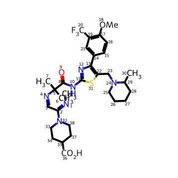 C/N=C(\C=N/C(C)(C)C(=O)Nc1nc(-c2ccc(OC)c(C(F)(F)F)c2)c(CN2CCCCC2C)s1)N1CCC(C(=O)O)CC1